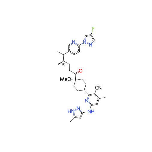 CO[C@]1(C(=O)CC[C@@H](C)C(C)c2ccc(-n3cc(F)cn3)nc2)CC[C@H](c2nc(Nc3cc(C)[nH]n3)cc(C)c2C#N)CC1